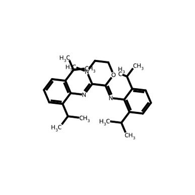 CC(C)c1cccc(C(C)C)c1N=C1OCCN(C)C1=Nc1c(C(C)C)cccc1C(C)C